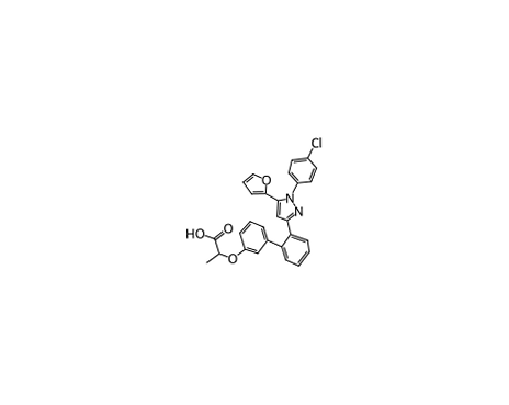 CC(Oc1cccc(-c2ccccc2-c2cc(-c3ccco3)n(-c3ccc(Cl)cc3)n2)c1)C(=O)O